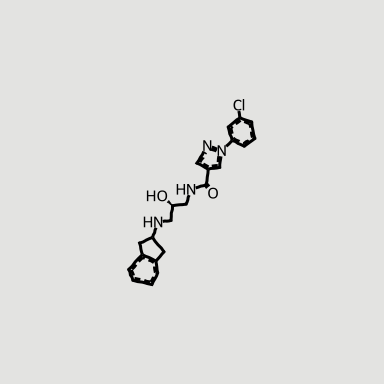 O=C(NC[C@H](O)CNC1Cc2ccccc2C1)c1cnn(-c2cccc(Cl)c2)c1